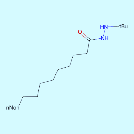 CCCCCCCCCCCCCCCCCC(=O)NNC(C)(C)C